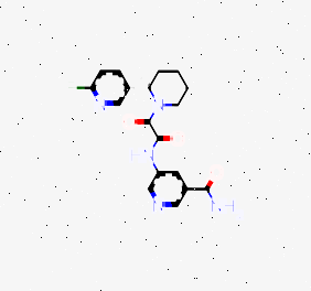 NC(=O)c1cncc(NC(=O)C(=O)N2CCCC[C@H]2c2ccc(F)nc2)c1